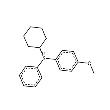 COc1ccc([SH](c2ccccc2)C2CCCCC2)cc1